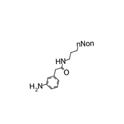 CCCCCCCCCCCCNC(=O)Cc1cccc(N)c1